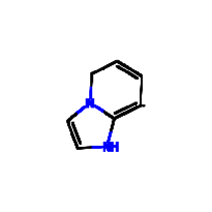 [C]1=C2NC=CN2CC=C1